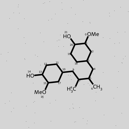 COC1CC(CC(C)C(C)CC2CCC(O)C(OC)C2)CCC1O